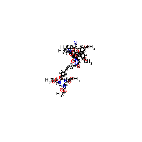 COC(=O)CN1CCN(CC(=O)OC)CC(Oc2ccc(C#CCCCCn3c(=O)ccn([C@H]4CC(OP(OCCC#N)N(C(C)C)C(C)C)[C@@H](COC(c5ccccc5)(c5ccc(OC)cc5)c5ccc(OC)cc5)O4)c3=O)cc2)CN(CC(=O)OC)CC1